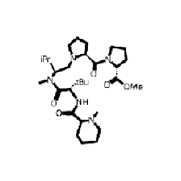 COC(=O)[C@H]1CCCN1C(=O)[C@@H]1CCCN1C[C@H](C(C)C)N(C)C(=O)[C@@H](NC(=O)C1CCCCN1C)C(C)(C)C